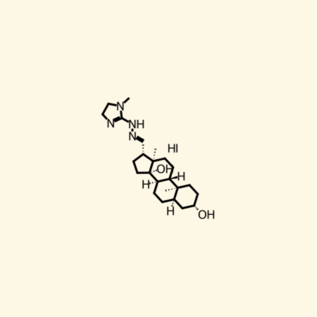 CN1CCN=C1N/N=C/[C@H]1CC[C@]2(O)[C@@H]3CC[C@@H]4C[C@@H](O)CC[C@]4(C)[C@H]3CC[C@]12C.I